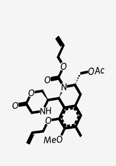 C=CCOC(=O)N1[C@H](COC(C)=O)Cc2cc(C)c(OC)c(OCC=C)c2[C@@H]1[C@@H]1COC(=O)CN1